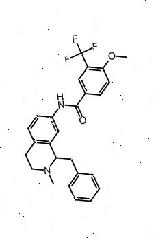 COc1ccc(C(=O)Nc2ccc3c(c2)C(Cc2ccccc2)N(C)CC3)cc1C(F)(F)F